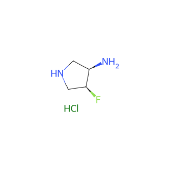 Cl.N[C@@H]1CNC[C@@H]1F